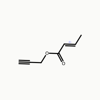 C#CCOC(=O)/C=C/C